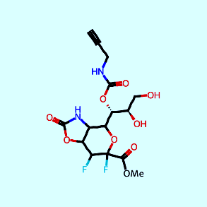 C#CCNC(=O)O[C@@H](C1OC(F)(C(=O)OC)C(F)C2OC(=O)NC21)[C@H](O)CO